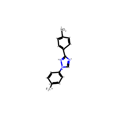 O=[N+]([O-])c1ccc(-c2ncn(-c3ccc(C(F)(F)F)cc3)n2)cc1